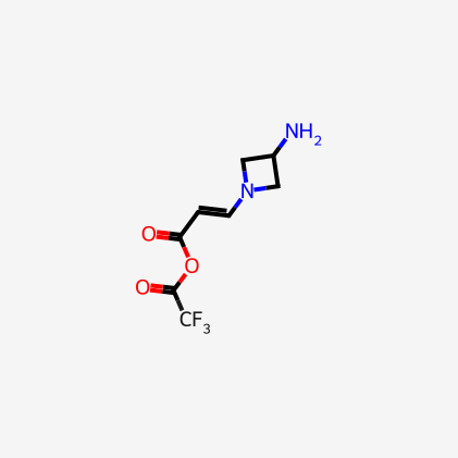 NC1CN(C=CC(=O)OC(=O)C(F)(F)F)C1